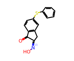 O=C1/C(=N\O)Cc2cc(Sc3ccccc3)ccc21